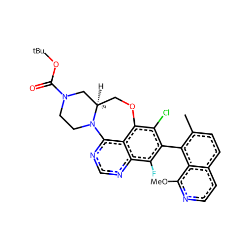 COc1nccc2ccc(C)c(-c3c(Cl)c4c5c(ncnc5c3F)N3CCN(C(=O)OC(C)(C)C)C[C@H]3CO4)c12